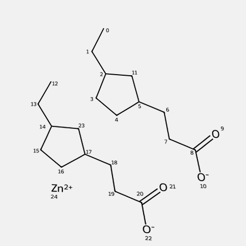 CCC1CCC(CCC(=O)[O-])C1.CCC1CCC(CCC(=O)[O-])C1.[Zn+2]